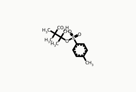 Cc1ccc(S(=O)(=O)OC(C)(C)C(C)(C)C(=O)O)cc1